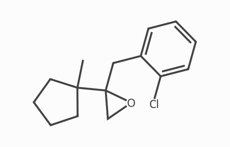 CC1(C2(Cc3ccccc3Cl)CO2)CCCC1